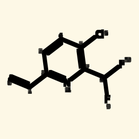 C=Cc1ccc(Cl)c(C(F)F)n1